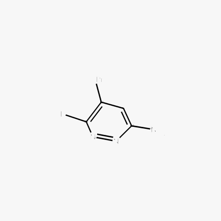 CC(C)c1cc(N)nnc1F